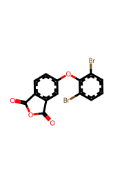 O=C1OC(=O)c2cc(Oc3c(Br)cccc3Br)ccc21